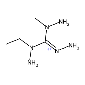 CCN(N)/C(=N/N)N(C)N